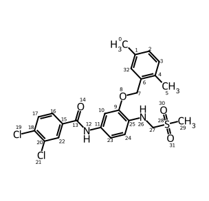 Cc1ccc(C)c(COc2cc(NC(=O)c3ccc(Cl)c(Cl)c3)ccc2NCS(C)(=O)=O)c1